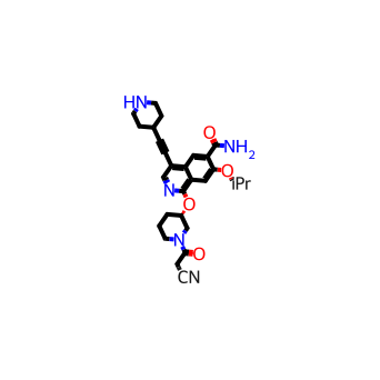 CC(C)Oc1cc2c(O[C@@H]3CCCN(C(=O)CC#N)C3)ncc(C#CC3CCNCC3)c2cc1C(N)=O